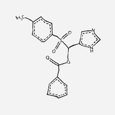 Cc1ccc(S(=O)(=O)C(OC(=O)c2ccccc2)c2cnc[nH]2)cc1